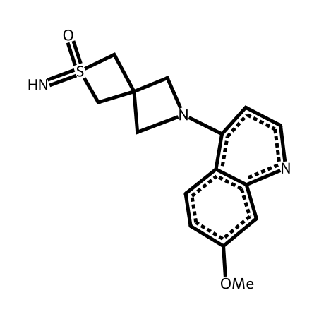 COc1ccc2c(N3CC4(C3)CS(=N)(=O)C4)ccnc2c1